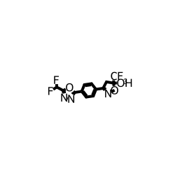 OC1(C(F)(F)F)CC(c2ccc(-c3nnc(C(F)F)o3)cc2)=NO1